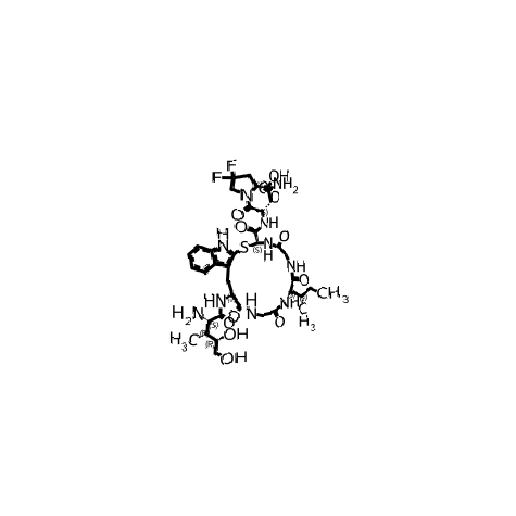 CC[C@H](C)[C@@H]1NC(=O)CNC(=O)[C@@H](NC(=O)[C@@H](N)[C@@H](C)[C@@H](O)CO)Cc2c([nH]c3ccccc23)S[C@@H](C(=O)N[C@@H](CC(N)=O)C(=O)N2CC(F)(F)C[C@H]2C(=O)O)NC(=O)CNC1=O